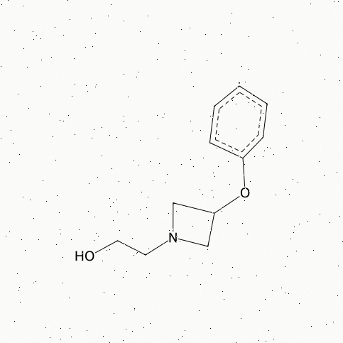 OCCN1CC(Oc2cc[c]cc2)C1